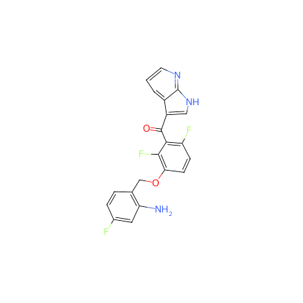 Nc1cc(F)ccc1COc1ccc(F)c(C(=O)c2c[nH]c3ncccc23)c1F